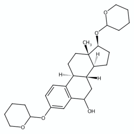 C[C@]12CC[C@@H]3c4ccc(OC5CCCCO5)cc4C(O)C[C@H]3[C@@H]1CC[C@@H]2OC1CCCCO1